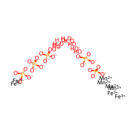 O.O.O.O.O=P([O-])([O-])[O-].O=P([O-])([O-])[O-].O=P([O-])([O-])[O-].O=P([O-])([O-])[O-].O=P([O-])([O-])[O-].[Fe+3].[Fe+3].[Fe+3].[Fe+3].[Mn+2].[Mn+2].[Mn+2].[Mn+2].[OH-].[OH-].[OH-].[OH-].[OH-]